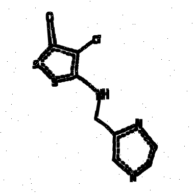 O=c1ssc(NCc2cnccn2)c1Cl